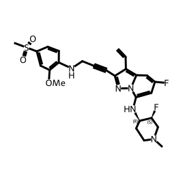 C=Cc1c(C#CCNc2ccc(S(C)(=O)=O)cc2OC)nn2c(N[C@@H]3CCN(C)C[C@@H]3F)cc(F)cc12